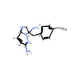 COc1ccc(CC2(N)CN=C3C=CC(N)=NN32)cc1